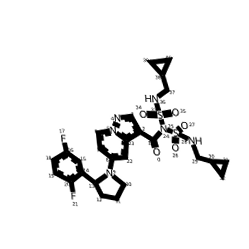 O=C(c1cnn2ccc(N3CCCC3c3cc(F)ccc3F)cc12)N(S(=O)(=O)NCC1CC1)S(=O)(=O)NCC1CC1